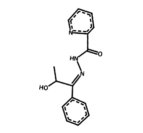 CC(O)C(=NNC(=O)c1ccccn1)c1ccccc1